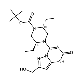 CC[C@@H]1CN(c2nc(=O)[nH]c3cc(CO)nn23)[C@@H](CC)CN1C(=O)OC(C)(C)C